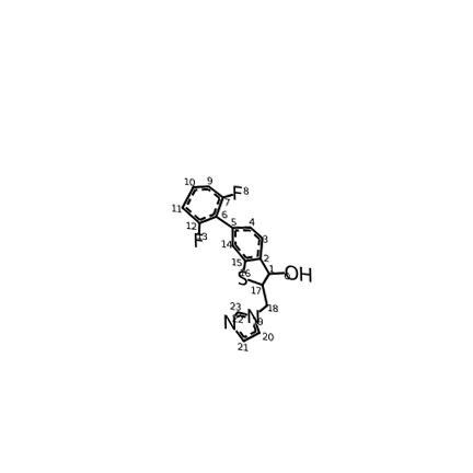 OC1c2ccc(-c3c(F)cccc3F)cc2SC1Cn1ccnc1